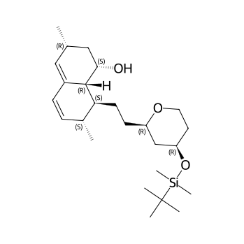 C[C@@H]1C=CC2=C[C@H](C)C[C@H](O)[C@@H]2[C@H]1CC[C@@H]1C[C@H](O[Si](C)(C)C(C)(C)C)CCO1